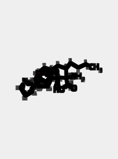 CCCCC(Cc1ccc(-n2cccn2)cc1)C(N)(C(=O)O)S(=O)(=O)c1cccnc1